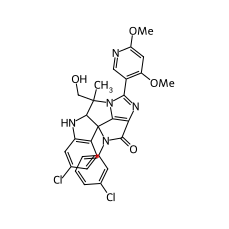 COc1cc(OC)c(-c2nc3c4n2C(C)(CO)C2Nc5cc(Cl)ccc5C42N(c2cccc(Cl)c2)C3=O)cn1